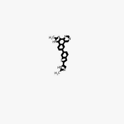 Cc1ncc(-c2cc3ccc(-c4ccc5c(c4)c4cncnc4c4nc(C)[nH]c54)cc3s2)[nH]1